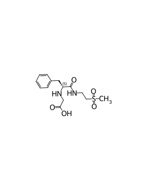 CS(=O)(=O)CCNC(=O)[C@H](Cc1ccccc1)NCC(=O)O